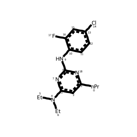 CCCc1cc(N(CC)CC)nc(Nc2ccc(Cl)cc2F)n1